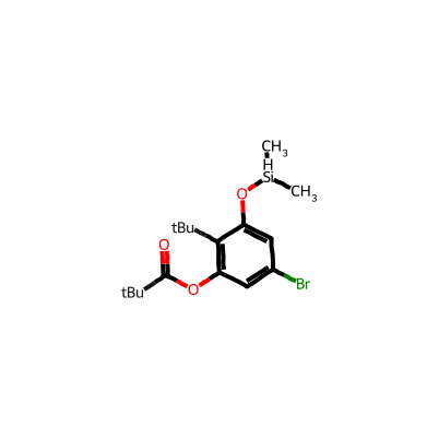 C[SiH](C)Oc1cc(Br)cc(OC(=O)C(C)(C)C)c1C(C)(C)C